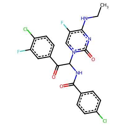 CCNc1nc(=O)n(C(NC(=O)c2ccc(Cl)cc2)C(=O)c2ccc(Cl)c(F)c2)cc1F